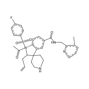 C=CCC1C2(CCNCC2)c2cc(C(=O)NCc3ncccc3C)ccc2[N+]1(C(C)=O)S(=O)(=O)c1ccc(F)cc1